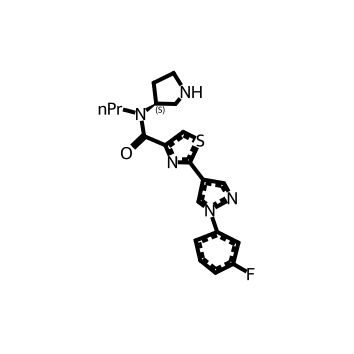 CCCN(C(=O)c1csc(-c2cnn(-c3cccc(F)c3)c2)n1)[C@H]1CCNC1